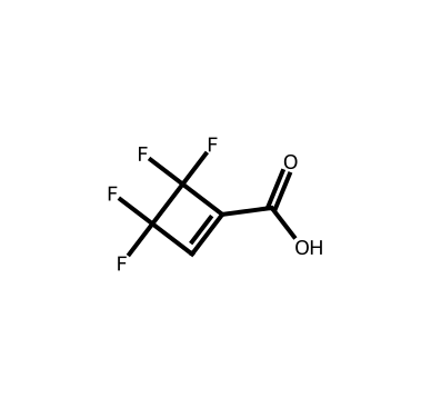 O=C(O)C1=CC(F)(F)C1(F)F